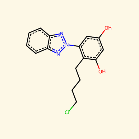 Oc1cc(O)c(CCCCCl)c(-n2nc3ccccc3n2)c1